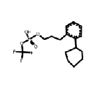 O=P(O)(OCCCc1ccccc1C1CCCCC1)OC(F)(F)F